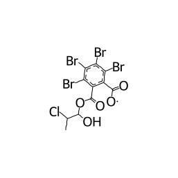 CC(Cl)C(O)OC(=O)c1c(Br)c(Br)c(Br)c(Br)c1C([O])=O